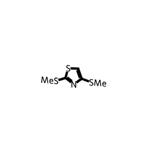 CSc1csc(SC)n1